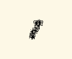 C=C/C(=N\c1c(C)c(=O)n(C)c(=O)n1C)Oc1cccc(OC(F)(F)F)c1